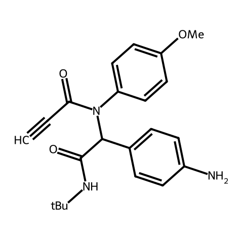 C#CC(=O)N(c1ccc(OC)cc1)C(C(=O)NC(C)(C)C)c1ccc(N)cc1